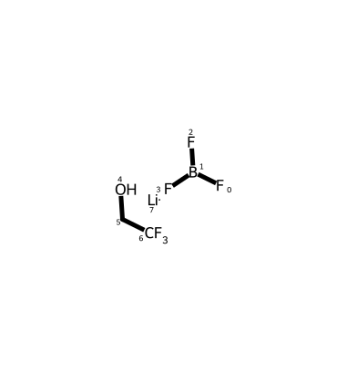 FB(F)F.OCC(F)(F)F.[Li]